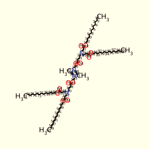 CCCCCCCCCCCCCCOC(=O)CCN(CCCC(=O)OCCN1CC(C)N(CCOC(=O)CCCN(CCC(=O)OCCCCCCCCCCCCCC)CCC(=O)OCCCCCCCCCCCCCC)CC1C)CCC(=O)OCCCCCCCCCCCCCC